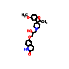 COc1cccc(C2(C(C)=O)CCN(CC(O)COc3ccc4c(c3)CCC(=O)N4)CC2)c1